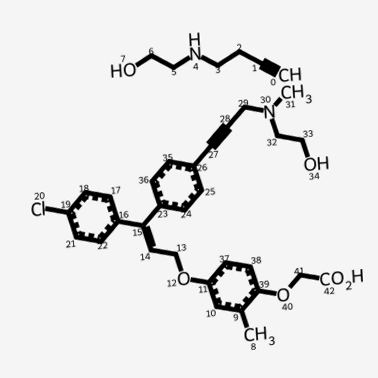 C#CCCNCCO.Cc1cc(OCC=C(c2ccc(Cl)cc2)c2ccc(C#CCN(C)CCO)cc2)ccc1OCC(=O)O